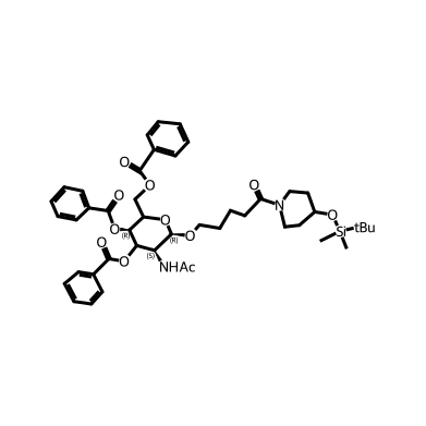 CC(=O)N[C@H]1C(OC(=O)c2ccccc2)[C@@H](OC(=O)c2ccccc2)C(COC(=O)c2ccccc2)O[C@H]1OCCCCC(=O)N1CCC(O[Si](C)(C)C(C)(C)C)CC1